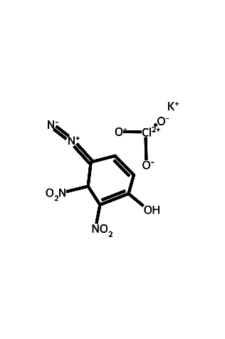 [K+].[N-]=[N+]=C1C=CC(O)=C([N+](=O)[O-])C1[N+](=O)[O-].[O-][Cl+2]([O-])[O-]